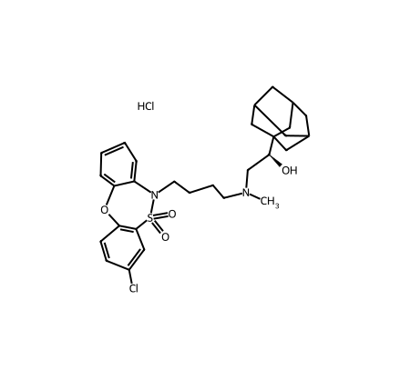 CN(CCCCN1c2ccccc2Oc2ccc(Cl)cc2S1(=O)=O)C[C@H](O)C12CC3CC(CC(C3)C1)C2.Cl